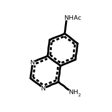 CC(=O)Nc1ccc2c(N)ncnc2c1